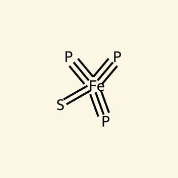 [P]#[Fe](#[P])(#[P])=[S]